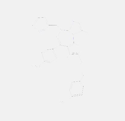 COc1ccc(COCc2sc3c(c2C)C(c2ccc(NC(C)=O)cc2)=NN(Cc2cccnc2)c2nnc(C)n2-3)cc1